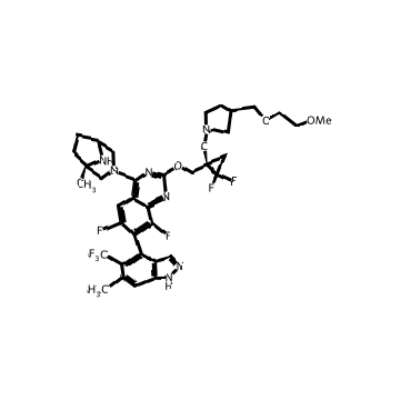 COCCOCC1CCN(C[C@@]2(COc3nc(N4CC5CC[C@@](C)(C4)N5)c4cc(F)c(-c5c(C(F)(F)F)c(C)cc6[nH]ncc56)c(F)c4n3)CC2(F)F)C1